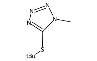 Cn1nnnc1SC(C)(C)C